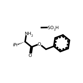 CC(C)[C@H](N)C(=O)OCc1ccccc1.CS(=O)(=O)O